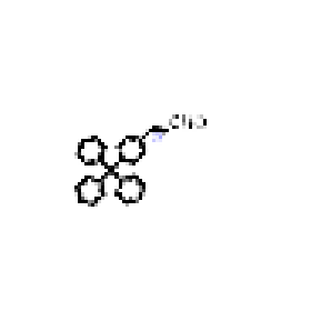 O=C/C=C/c1ccc(C(c2ccccc2)(c2ccccc2)c2ccccc2)cc1